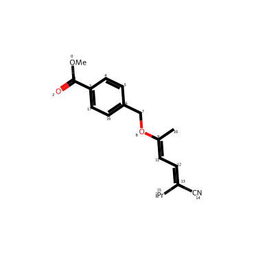 COC(=O)c1ccc(CO/C(C)=C/C=C(/C#N)C(C)C)cc1